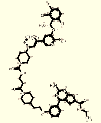 C=NN(/C=C(\C)c1cnc(N)c(O[C@H](C)c2c(Cl)ccc(F)c2Cl)c1)C1CCN(C(=O)OCCC(=O)N2CCC(CCOc3cccc(-c4nc(N)nc5sc(C(=O)NCC)cc45)c3)CC2)CC1